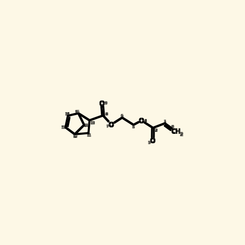 C=CC(=O)OCCOC(=O)C1CC2C=CC1C2